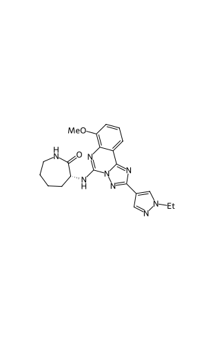 CCn1cc(-c2nc3c4cccc(OC)c4nc(N[C@@H]4CCCCNC4=O)n3n2)cn1